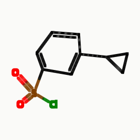 O=S(=O)(Cl)c1cccc(C2CC2)c1